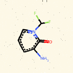 Nc1cccn(C(F)F)c1=O